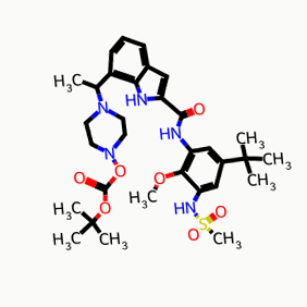 COc1c(NC(=O)c2cc3cccc(C(C)N4CCN(OC(=O)OC(C)(C)C)CC4)c3[nH]2)cc(C(C)(C)C)cc1NS(C)(=O)=O